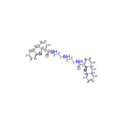 O=C(NCCCNCCCNC(=O)c1cccc2cc3ccccc3nc12)c1cccc2cc3ccccc3nc12